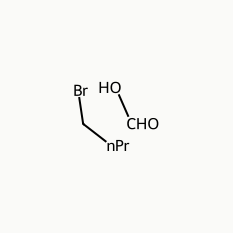 CCCCBr.O=CO